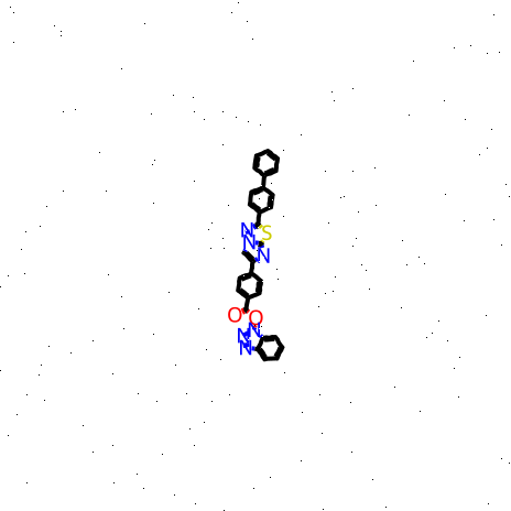 O=C(On1nnc2ccccc21)c1ccc(-c2cn3nc(-c4ccc(-c5ccccc5)cc4)sc3n2)cc1